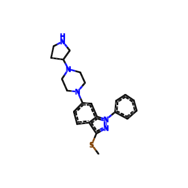 CSc1nn(-c2ccccc2)c2cc(N3CCN(C4CCNC4)CC3)ccc12